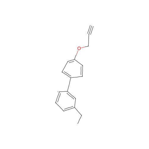 C#CCOc1ccc(-c2[c]ccc(CC)c2)cc1